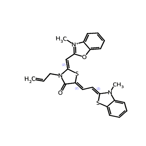 C=CCn1c(=O)/c(=C/C=C2\Sc3ccccc3N2C)s/c1=C\c1oc2ccccc2[n+]1C